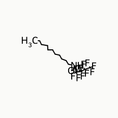 CCCCCCCCCCCNS(=O)(=O)C(F)(F)C(F)(F)C(F)(F)C(F)(F)F